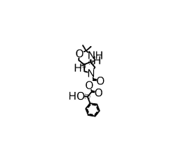 CC1(C)N[C@@H]2CN(C(=O)OC(=O)[C@H](O)c3ccccc3)C[C@@H]2CO1